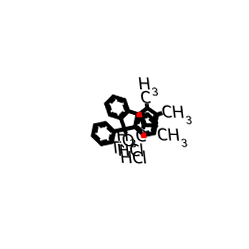 CC1=C(C)C(C)C(c2ccccc2C([O][Ti])(c2ccccc2)c2ccccc2)=C1C.Cl.Cl